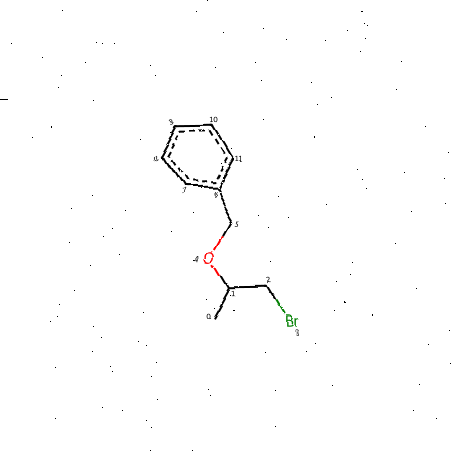 CC(CBr)OCc1ccccc1